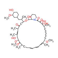 COC1C(=O)C(C)CC/C=C/C=C/C=C(\C)[C@@H](OC)CCCCC(C)C(O)(O)C(=O)C(=O)N2CCCCC2C(O)O[C@H]([C@H](C)CC2CC[C@@H](O)[C@H](OC)C2)CC(=O)[C@H](C)/C=C(\C)[C@H]1O